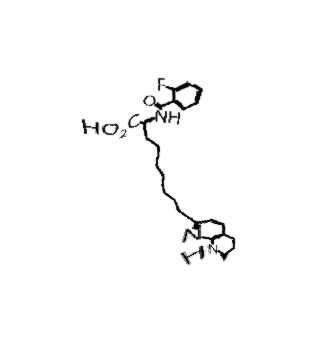 O=C(NC(CCCCCCCc1ccc2c(n1)NCCC2)C(=O)O)c1ccccc1F